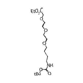 CCOC(=O)COCCOCCOCCCCNC(=O)OC(C)(C)C